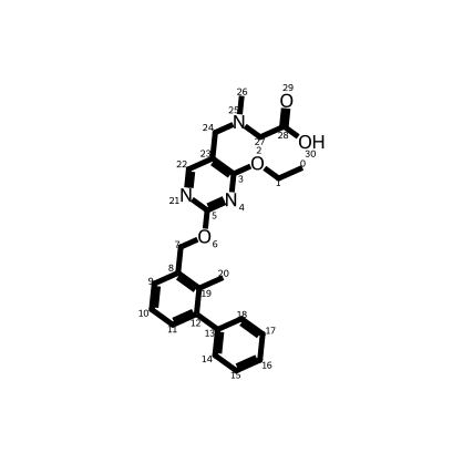 CCOc1nc(OCc2cccc(-c3ccccc3)c2C)ncc1CN(C)CC(=O)O